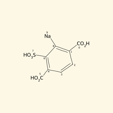 O=C(O)c1ccc(C(=O)O)c(S(=O)(=O)O)[c]1[Na]